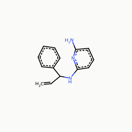 C=CC(Nc1cccc(N)n1)c1ccccc1